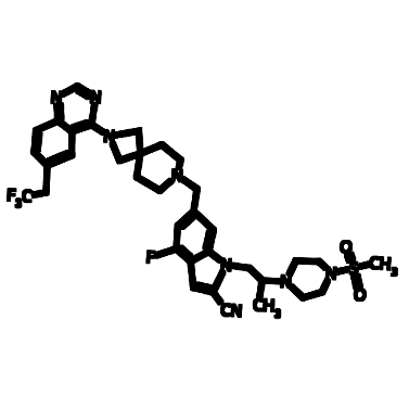 CC(Cn1c(C#N)cc2c(F)cc(CN3CCC4(CC3)CN(c3ncnc5ccc(CC(F)(F)F)cc35)C4)cc21)N1CCN(S(C)(=O)=O)CC1